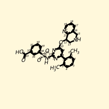 Cc1cccc(C)c1-c1cc(OC2CNCc3cccnc32)nc(NS(=O)(=O)c2cccc(C(=O)O)c2)n1